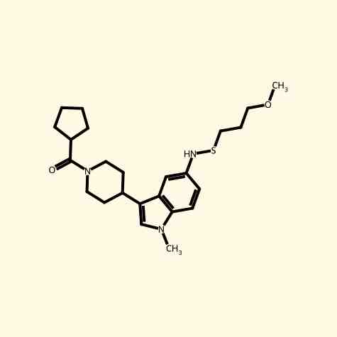 COCCCSNc1ccc2c(c1)c(C1CCN(C(=O)C3CCCC3)CC1)cn2C